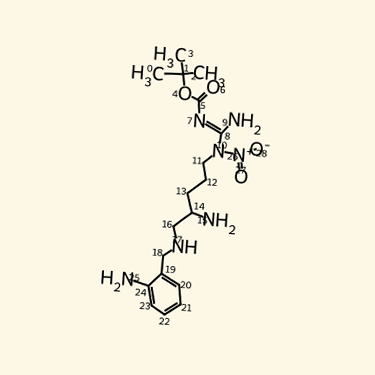 CC(C)(C)OC(=O)N=C(N)N(CCCC(N)CNCc1ccccc1N)[N+](=O)[O-]